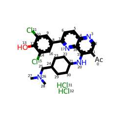 CC(=O)c1cnc2ccc(-c3cc(Cl)c(O)c(Cl)c3)nc2c1NC1CCC(CN(C)C)CC1.Cl.Cl